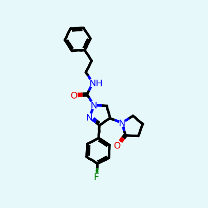 O=C(NCCc1ccccc1)N1CC(N2CCCC2=O)C(c2ccc(F)cc2)=N1